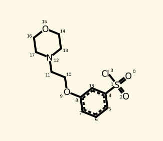 O=S(=O)(Cl)c1cccc(OCCN2CCOCC2)c1